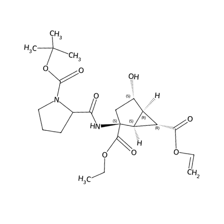 C=COC(=O)[C@H]1[C@H]2[C@@H]1[C@](NC(=O)C1CCCN1C(=O)OC(C)(C)C)(C(=O)OCC)C[C@@H]2O